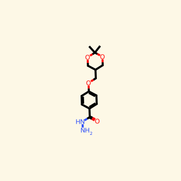 CC1(C)OCC(COc2ccc(C(=O)NN)cc2)CO1